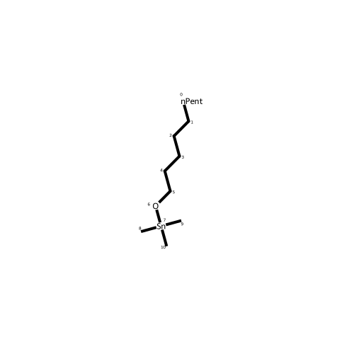 CCCCCCCCCC[O][Sn]([CH3])([CH3])[CH3]